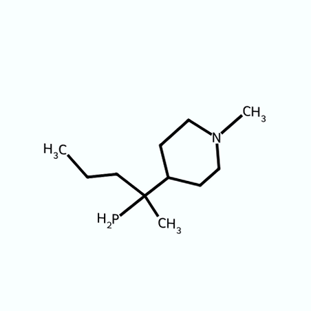 CCCC(C)(P)C1CCN(C)CC1